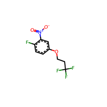 O=[N+]([O-])c1cc(OCCC(F)(F)F)ccc1F